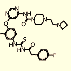 O=C(Cc1ccc(F)cc1)NC(=S)Nc1ccc(Oc2cc(NC(=O)N3CCN(CCN4CCC4)CC3)ncn2)c(F)c1